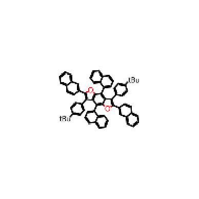 CC(C)(C)c1ccc(-c2c(-c3ccc4ccccc4c3)oc3c(-c4cccc5ccccc45)c4c(-c5ccc(C(C)(C)C)cc5)c(-c5ccc6ccccc6c5)oc4c(-c4cccc5ccccc45)c23)cc1